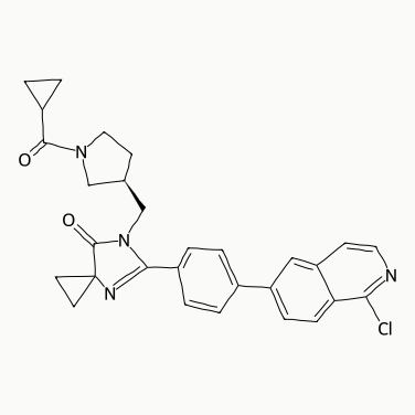 O=C(C1CC1)N1CC[C@@H](CN2C(=O)C3(CC3)N=C2c2ccc(-c3ccc4c(Cl)nccc4c3)cc2)C1